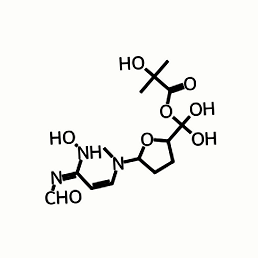 CN(/C=C\C(=N/C=O)NO)C1CCC(C(O)(O)OC(=O)C(C)(C)O)O1